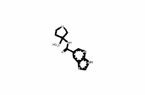 O=C(NC1(C(=O)O)CCOC1)c1cnc2[nH]cnc2c1